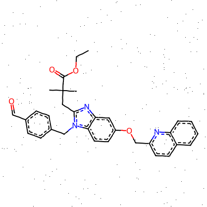 CCOC(=O)C(C)(C)Cc1nc2cc(OCc3ccc4ccccc4n3)ccc2n1Cc1ccc(C=O)cc1